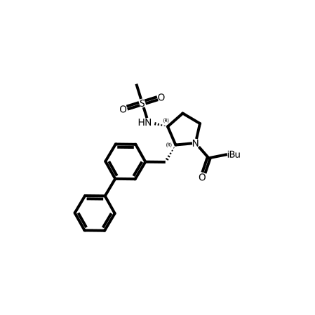 CCC(C)C(=O)N1CC[C@@H](NS(C)(=O)=O)[C@H]1Cc1cccc(-c2ccccc2)c1